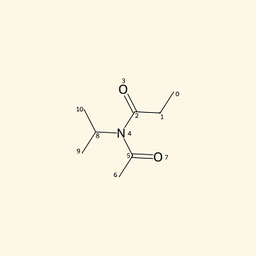 CCC(=O)N(C(C)=O)C(C)C